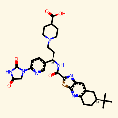 CC(C)(C)[C@H]1CCc2nc3sc(C(=O)N[C@H](CCN4CCC(C(=O)O)CC4)c4ccc(N5CC(=O)NC5=O)nc4)nc3cc2C1